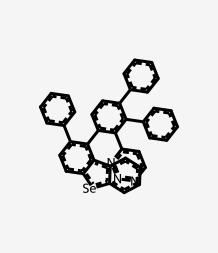 c1ccc(-c2ccc(-c3c(-c4ccccc4)ccc4[se]c5ccccc5c34)c(-c3ccnnn3)c2-c2ccccc2)cc1